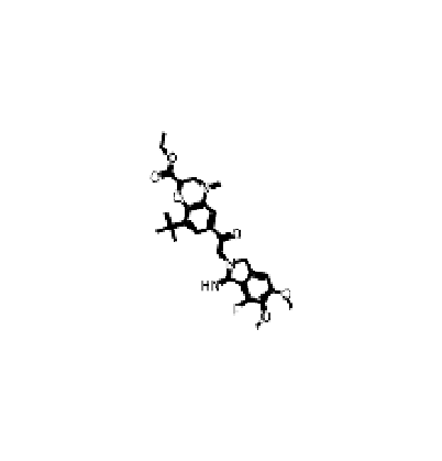 CCOC(=O)C1CN(C)c2cc(C(=O)CN3Cc4cc(OC)c(OC)c(F)c4C3=N)cc(C(C)(C)C)c2O1